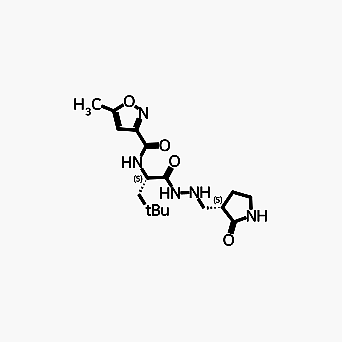 Cc1cc(C(=O)N[C@@H](CC(C)(C)C)C(=O)NNC[C@@H]2CCNC2=O)no1